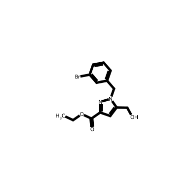 CCOC(=O)c1cc(CO)n(Cc2cccc(Br)c2)n1